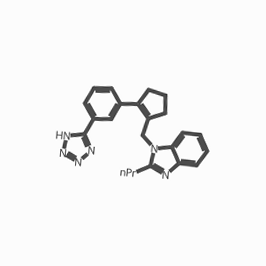 CCCc1nc2ccccc2n1CC1=C(c2cccc(-c3nnn[nH]3)c2)CCC1